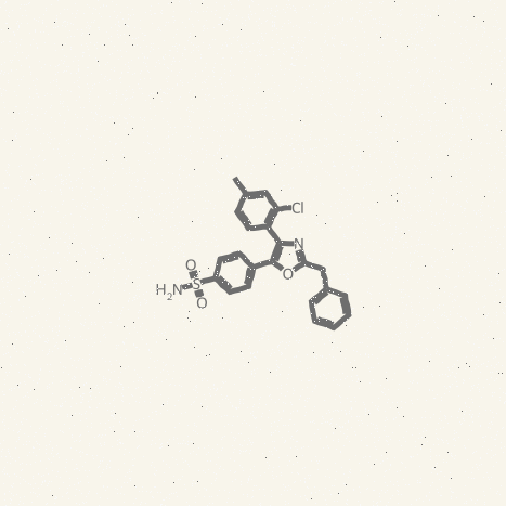 Cc1ccc(-c2nc(Cc3ccccc3)oc2-c2ccc(S(N)(=O)=O)cc2)c(Cl)c1